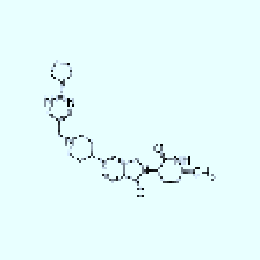 C=C1CCC(N2Cc3cc(C4CCN(Cc5cnc(N6CCCC6)nc5)CC4)ccc3C2=O)C(=O)N1